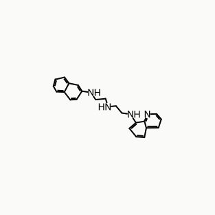 c1ccc2cc(NCCNCCNc3cccc4cccnc34)ccc2c1